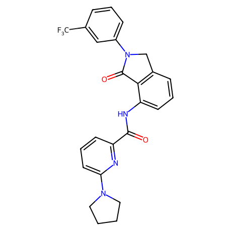 O=C(Nc1cccc2c1C(=O)N(c1cccc(C(F)(F)F)c1)C2)c1cccc(N2CCCC2)n1